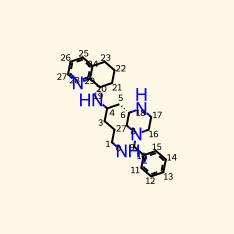 NCCCC(C[C@H]1CN(Cc2ccccc2)CCN1)N[C@H]1CCCc2cccnc21